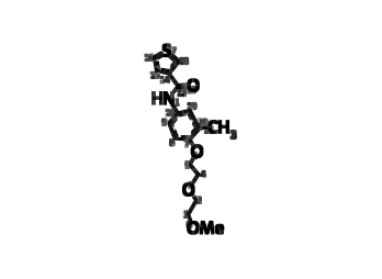 COCCOCCOc1ccc(NC(=O)c2ccsc2)cc1C